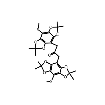 CSc1c2c(c(CC(=O)Cc3c4c(c(SC)c5c3OC(C)(C)O5)OC(C)(C)O4)c3c1OC(C)(C)O3)OC(C)(C)O2